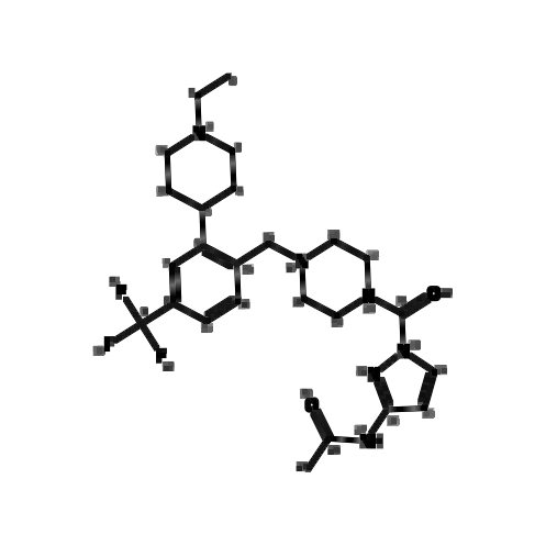 CCN1CCC(c2cc(C(F)(F)F)ccc2CN2CCN(C(=O)n3ccc(NC(C)=O)n3)CC2)CC1